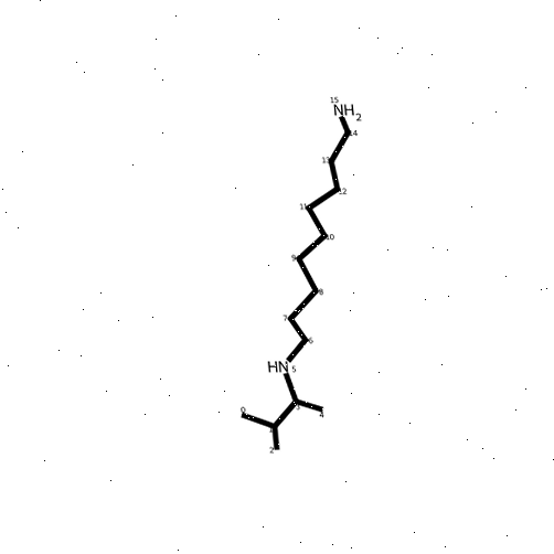 CC(C)C(C)NCCCCCCCCCN